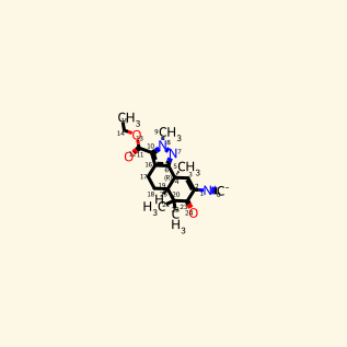 [C-]#[N+]C1=C[C@]2(C)c3nn(C)c(C(=O)OCC)c3CC[C@H]2C(C)(C)C1=O